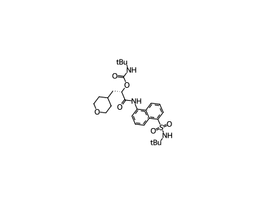 CC(C)(C)NC(=O)O[C@@H](CC1CCOCC1)C(=O)Nc1cccc2c(S(=O)(=O)NC(C)(C)C)cccc12